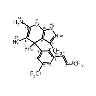 CC=Cc1cc(C(F)(F)F)cc(C2(C(C)C)C(C#N)=C(N)Oc3[nH]nc(C)c32)c1